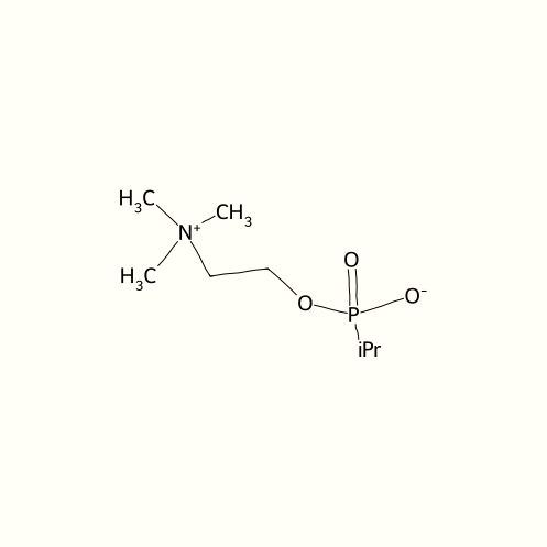 CC(C)P(=O)([O-])OCC[N+](C)(C)C